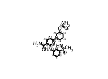 CS(=N)(=O)c1cccc(Nc2nc(N3CCC[C@H](OC(N)=O)C3)ncc2C(N)=O)c1